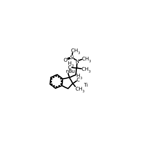 CCCCC1(CC(C)(C)N(C)[Si](C)=O)c2ccccc2CC1(C)C.[Ti]